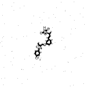 Cc1oc(-c2ccc(C(F)(F)F)cc2)nc1COc1cccc(C=CC(C)n2oc(=O)[nH]c2=O)c1